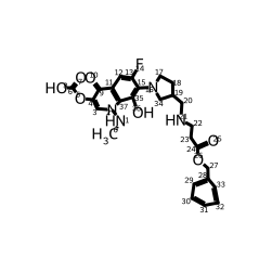 CNn1cc(OC(=O)O)c(=O)c2cc(F)c(N3CCC(CNCCC(=O)OCc4ccccc4)C3)c(O)c21